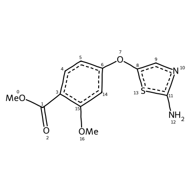 COC(=O)c1ccc(Oc2cnc(N)s2)cc1OC